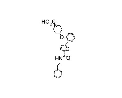 O=C(NCCc1ccccc1)c1ccc(-c2ccccc2OC2CCN(C(=O)O)CC2)o1